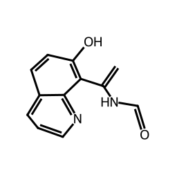 C=C(NC=O)c1c(O)ccc2cccnc12